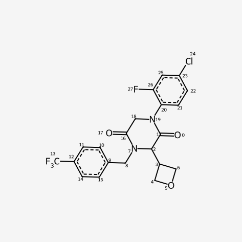 O=C1C(C2COC2)N(Cc2ccc(C(F)(F)F)cc2)C(=O)CN1c1ccc(Cl)cc1F